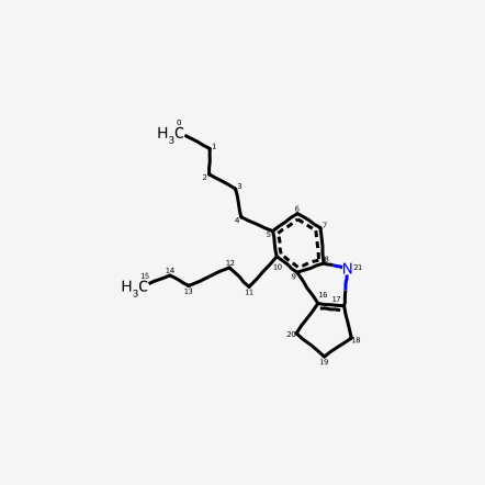 CCCCCc1ccc2c(c1CCCCC)C1=C(CCC1)[N]2